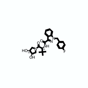 CC(C)(C)[C@H](NC(=O)c1nn(Cc2ccc(F)cc2)c2ccccc12)C(=O)N1C[C@@H](O)[C@@H](O)C1